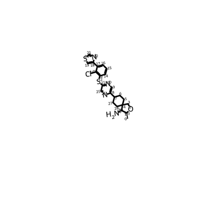 C[C@@H]1OCC2(CCC(c3cnc(Sc4cccc(-c5cscn5)c4Cl)cn3)CC2)[C@@H]1N